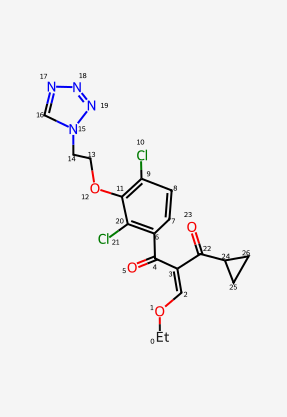 CCO/C=C(\C(=O)c1ccc(Cl)c(OCCn2cnnn2)c1Cl)C(=O)C1CC1